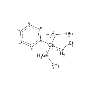 C[CH2][GeH2][Ge]([GeH2][CH3])([GeH2][C](C)(C)C)[c]1ccccc1